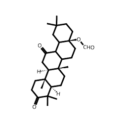 CC1(C)CC[C@]2(OC=O)CCC3C(C(=O)C[C@@H]4[C@@]5(C)CCC(=O)C(C)(C)[C@@H]5CC[C@@]34C)C2C1